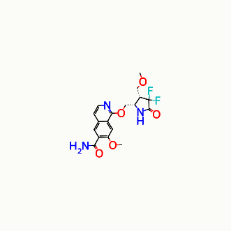 COC[C@H]1[C@@H](COc2nccc3cc(C(N)=O)c(OC)cc23)NC(=O)C1(F)F